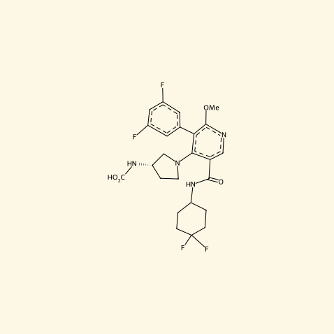 COc1ncc(C(=O)NC2CCC(F)(F)CC2)c(N2CC[C@H](NC(=O)O)C2)c1-c1cc(F)cc(F)c1